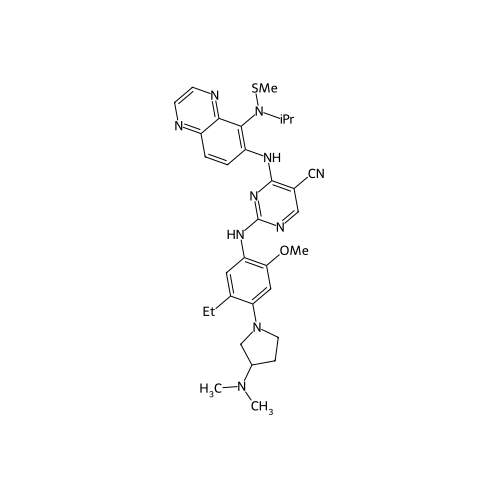 CCc1cc(Nc2ncc(C#N)c(Nc3ccc4nccnc4c3N(SC)C(C)C)n2)c(OC)cc1N1CCC(N(C)C)C1